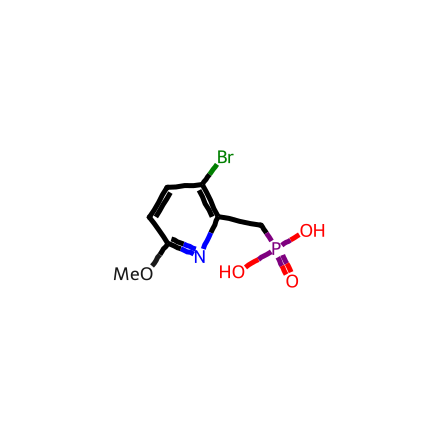 COc1ccc(Br)c(CP(=O)(O)O)n1